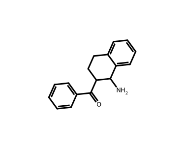 NC1c2ccccc2CCC1C(=O)c1ccccc1